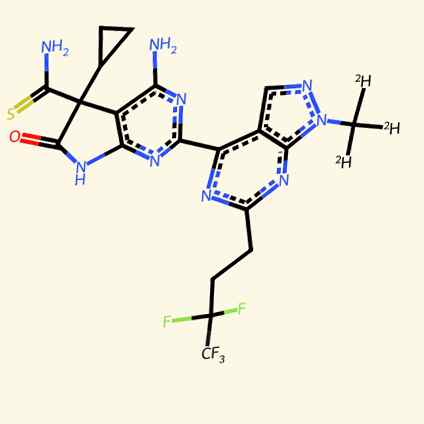 [2H]C([2H])([2H])n1ncc2c(-c3nc(N)c4c(n3)NC(=O)C4(C(N)=S)C3CC3)nc(CCC(F)(F)C(F)(F)F)nc21